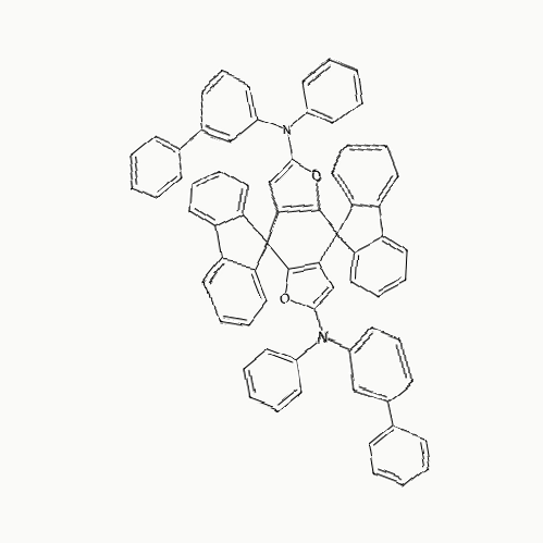 c1ccc(-c2cccc(N(c3ccccc3)c3cc4c(o3)C3(c5ccccc5-c5ccccc53)c3cc(N(c5ccccc5)c5cccc(-c6ccccc6)c5)oc3C43c4ccccc4-c4ccccc43)c2)cc1